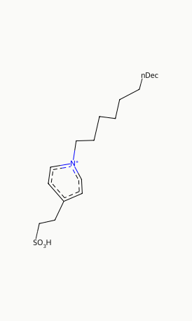 CCCCCCCCCCCCCCCC[n+]1ccc(CCS(=O)(=O)O)cc1